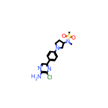 CN(C1CCN(c2ccc(-c3cnc(N)c(Cl)n3)cc2)C1)S(C)(=O)=O